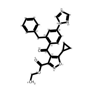 CCOC(=O)c1noc(C2CC2)c1C(=O)c1ccc(-n2cncn2)cc1Cc1ccccc1